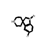 CC(=O)N1CC2(CCNCC2)c2cc(Cl)ccc21